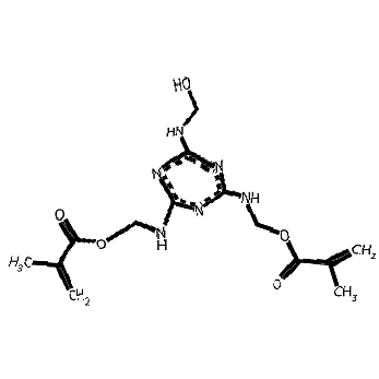 C=C(C)C(=O)OCNc1nc(NCO)nc(NCOC(=O)C(=C)C)n1